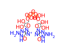 C[n+]1cn([C@@H]2O[C@H](COP(=O)(O)OP(C)(=O)OP(=O)(O)OC[C@H]3O[C@@H](n4c[n+](C)c5c(=O)[nH]c(N)nc54)[C@H](O)[C@@H]3O)[C@@H](O)[C@H]2O)c2nc(N)[nH]c(=O)c21